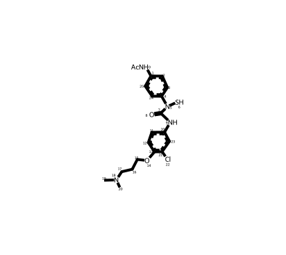 CC(=O)Nc1ccc(N(S)C(=O)Nc2ccc(OCCCN(C)C)c(Cl)c2)cc1